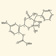 COC(=O)Oc1ccc(OC)cc1C1OP(=O)(O)C(O)(Cc2cccnc2)P(=O)(O)O1